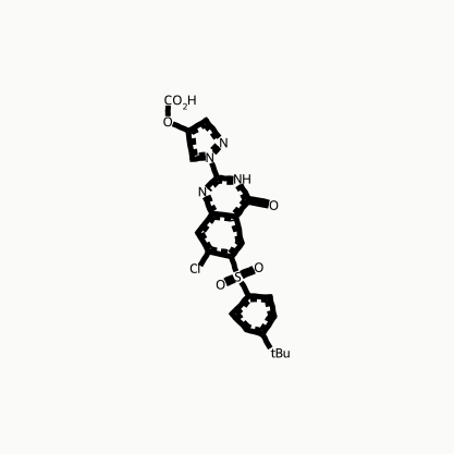 CC(C)(C)c1ccc(S(=O)(=O)c2cc3c(=O)[nH]c(-n4cc(OC(=O)O)cn4)nc3cc2Cl)cc1